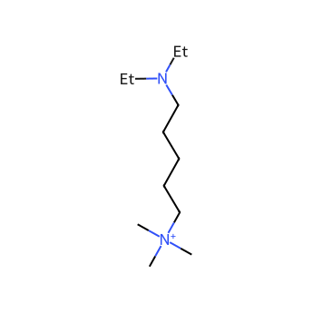 CCN(CC)CCCCC[N+](C)(C)C